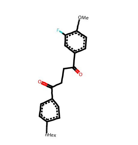 CCCCCCc1ccc(C(=O)CCC(=O)c2ccc(OC)c(F)c2)cc1